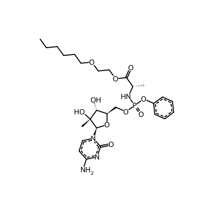 CCCCCCOCCOC(=O)[C@H](C)NP(=O)(OC[C@H]1O[C@@H](n2ccc(N)nc2=O)[C@](C)(O)[C@@H]1O)Oc1ccccc1